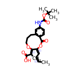 C\C=C/C=C1/OC(=O)c2ccc(NC(=O)OC(C)(C)C)cc2CCCO/C1=C(/C)C(=O)O